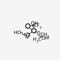 CC(C)(O)COc1cc(-c2cnn(CCO)c2)c2c(c1)[C@@](O)(C(F)(F)F)c1ccccc1-2